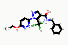 CCOc1ccc(-n2ncc(C(=O)NCc3ccccc3)c2C(F)(F)F)nn1